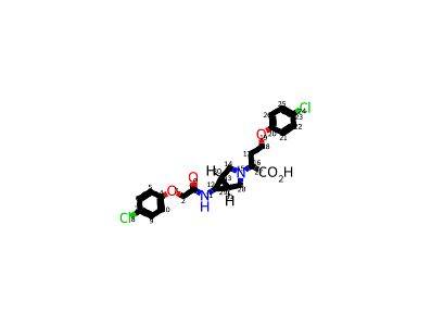 O=C(COc1ccc(Cl)cc1)NC1[C@H]2CN(C(CCOc3ccc(Cl)cc3)C(=O)O)C[C@@H]12